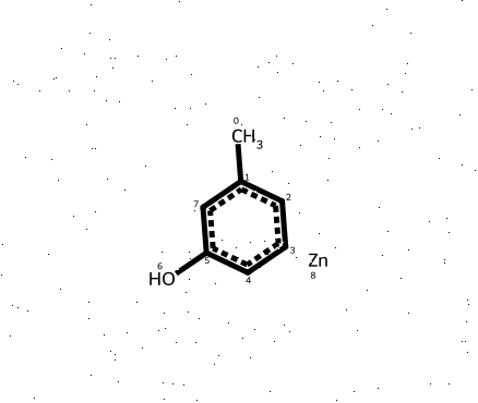 Cc1cccc(O)c1.[Zn]